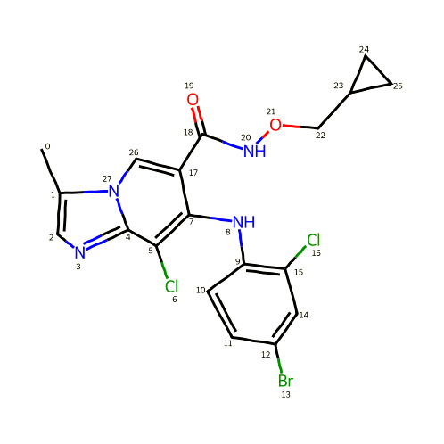 Cc1cnc2c(Cl)c(Nc3ccc(Br)cc3Cl)c(C(=O)NOCC3CC3)cn12